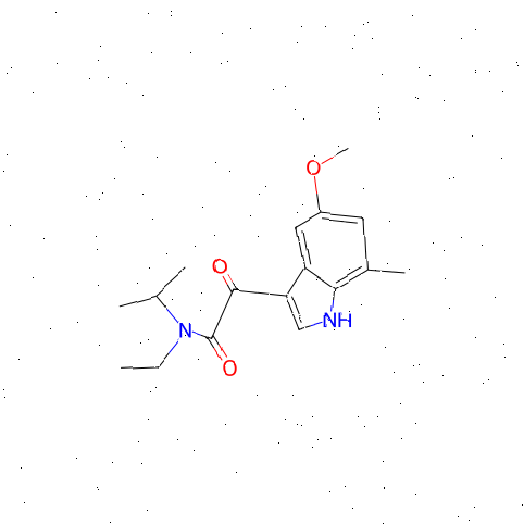 CCN(C(=O)C(=O)c1c[nH]c2c(C)cc(OC)cc12)C(C)C